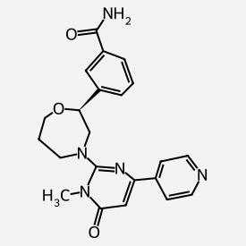 Cn1c(N2CCCO[C@@H](c3cccc(C(N)=O)c3)C2)nc(-c2ccncc2)cc1=O